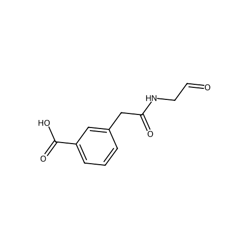 O=CCNC(=O)Cc1cccc(C(=O)O)c1